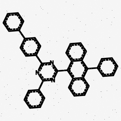 c1ccc(-c2ccc(-c3nc(-c4ccccc4)nc(-c4c5ccccc5c(-c5ccccc5)c5ccccc45)n3)cc2)cc1